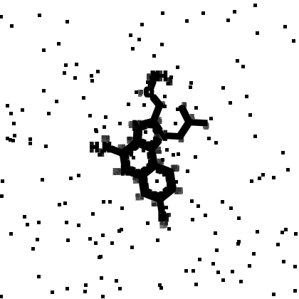 CC(C)Cn1c(CON)nc2c(N)nc3cc(Br)ccc3c21